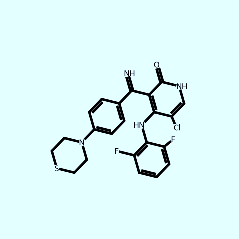 N=C(c1ccc(N2CCSCC2)cc1)c1c(Nc2c(F)cccc2F)c(Cl)c[nH]c1=O